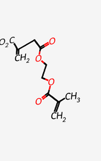 C=C(C)C(=O)OCCOC(=O)CC(=C)C(=O)O